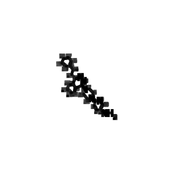 Nc1ccc(N2CCN(c3nnc(CCc4ccccc4)c4ccccc34)CC2)nc1